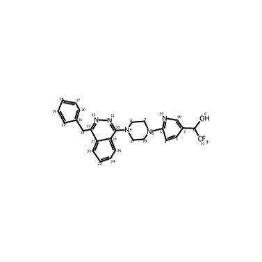 OC(c1ccc(N2CCN(c3nnc(Cc4ccccc4)c4ccccc34)CC2)nc1)C(F)(F)F